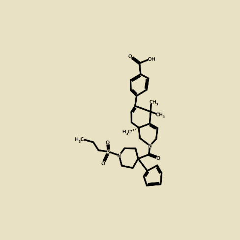 CCCS(=O)(=O)N1CCC(C(=O)N2CC=C3C(C)(C)C(c4ccc(C(=O)O)cc4)=CC[C@]3(C)C2)(c2ccccc2)CC1